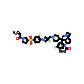 C=CC(=O)N1CC[C@H](S(=O)(=O)c2ccc(N3CC(F)(CN4CCC([C@@](CN5CCC5)(c5cccc(F)c5)[C@H]5CCC[C@@H]5NC(=O)OC)CC4)C3)c(F)c2)C1